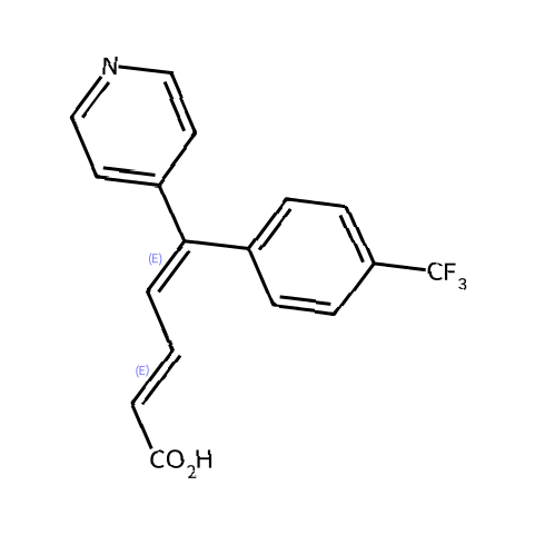 O=C(O)/C=C/C=C(/c1ccncc1)c1ccc(C(F)(F)F)cc1